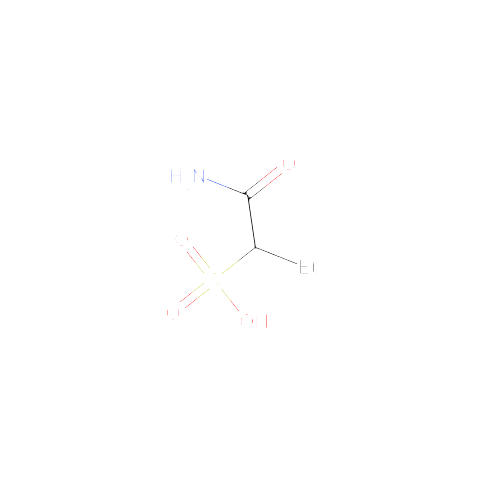 CCC(C(N)=O)S(=O)(=O)O